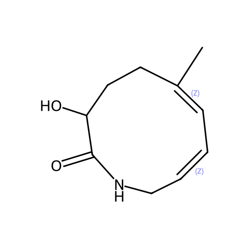 C/C1=C/C=C\CNC(=O)C(O)CC1